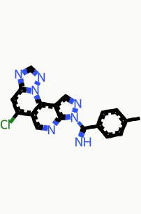 Cc1ccc(C(=N)n2ncc3c2ncc2c(Cl)cc4ncnn4c23)cc1